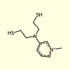 C[n+]1cccc(N(CCS)CCS)c1